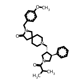 COc1ccc(CN2CC3(CCN(C[C@H]4CN(C(=O)C(C)C)C[C@@H]4c4ccccc4)CC3)CC2=O)cc1